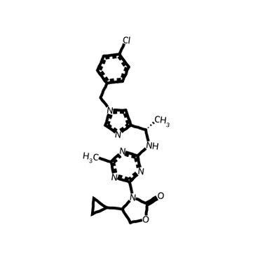 Cc1nc(N[C@@H](C)c2cn(Cc3ccc(Cl)cc3)cn2)nc(N2C(=O)OCC2C2CC2)n1